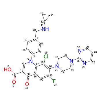 O=C(O)c1cn(-c2ccc(CNC3CC3)cc2)c2c(Cl)c(N3CCN(c4ncccn4)CC3)c(F)cc2c1=O